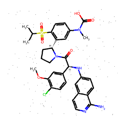 COc1cc([C@H](Nc2ccc3c(N)nccc3c2)C(=O)N2CCC[C@@H]2c2cc(N(C)C(=O)O)ccc2S(=O)(=O)C(C)C)ccc1Cl